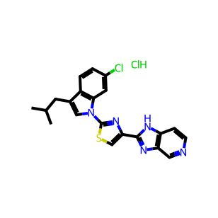 CC(C)Cc1cn(-c2nc(-c3nc4cnccc4[nH]3)cs2)c2cc(Cl)ccc12.Cl